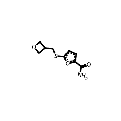 NC(=O)c1ccc(SCC2COC2)o1